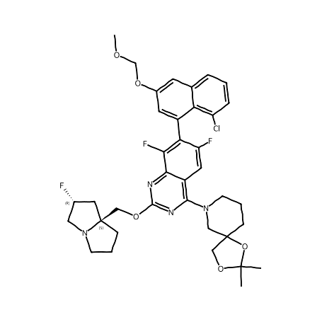 COCOc1cc(-c2c(F)cc3c(N4CCCC5(COC(C)(C)O5)C4)nc(OC[C@@]45CCCN4C[C@H](F)C5)nc3c2F)c2c(Cl)cccc2c1